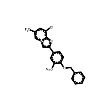 COc1cc(-c2cn3cc(C(F)(F)F)cc(Cl)c3n2)ccc1OCc1ccccc1